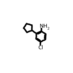 Nc1ccc(Cl)cc1C1CCCC1